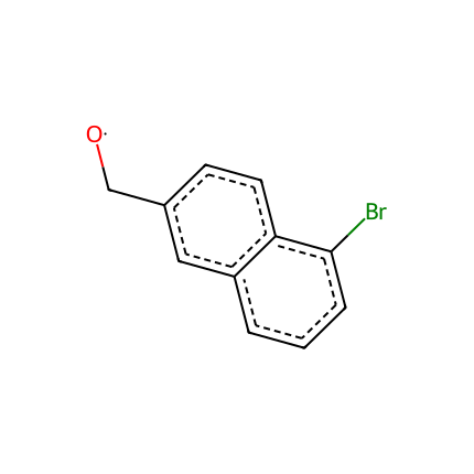 [O]Cc1ccc2c(Br)cccc2c1